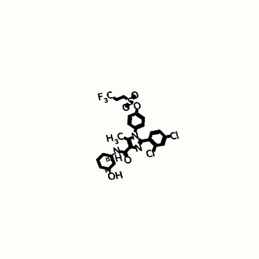 Cc1c(C(=O)N[C@H]2CCC[C@@H](O)C2)nc(-c2ccc(Cl)cc2Cl)n1-c1ccc(OS(=O)(=O)CCC(F)(F)F)cc1